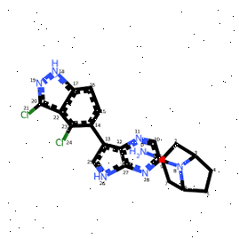 NC1CC2CCC(C1)N2c1cnc2c(-c3ccc4[nH]nc(Cl)c4c3Cl)c[nH]c2n1